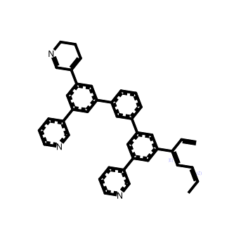 C=C/C(=C\C=C/C)c1cc(-c2cccnc2)cc(-c2cccc(-c3cc(C4=CCCN=C4)cc(-c4cccnc4)c3)c2)c1